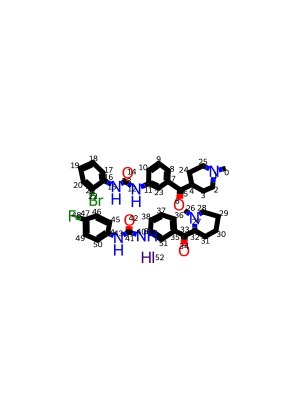 CN1CCC(C(=O)c2cccc(NC(=O)Nc3ccccc3Br)c2)CC1.CN1CCCCC1C(=O)c1cccc(NC(=O)Nc2ccc(F)cc2)c1.I